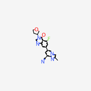 Cc1cn2cc(-c3cc(F)c4c(=O)n(C5CCOC5)cnc4c3)cc(C#N)c2n1